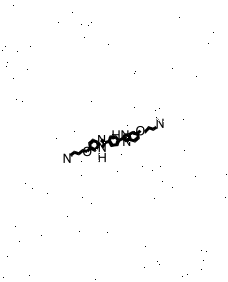 N#CCCCOc1ccc2nc(-c3ccc(-c4nc5ccc(OCCCC#N)cc5[nH]4)cc3)[nH]c2c1